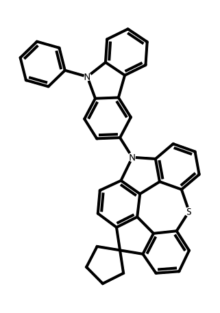 c1ccc(-n2c3ccccc3c3cc(-n4c5cccc6sc7cccc8c7c7c(ccc4c7c65)C84CCCC4)ccc32)cc1